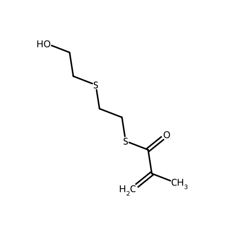 C=C(C)C(=O)SCCSCCO